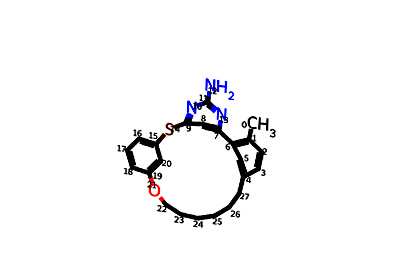 Cc1ccc2cc1-c1cc(nc(N)n1)Sc1cccc(c1)OCCCCCC2